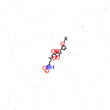 COC(=O)N/C=C/CCC(C)c1cc(O)c(C(=O)/C(C)=C\Cc2cccc(OCCC(C)(C)C)c2)c(=O)o1